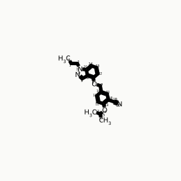 CCCn1ncc2c(OCc3ccc(OC(C)C)c(C#N)c3)cccc21